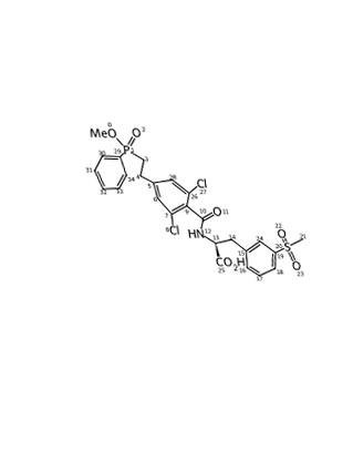 COP(=O)(CCc1cc(Cl)c(C(=O)N[C@@H](Cc2cccc(S(C)(=O)=O)c2)C(=O)O)c(Cl)c1)c1ccccc1